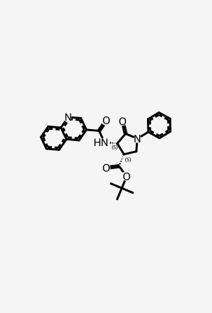 CC(C)(C)OC(=O)[C@H]1CN(c2ccccc2)C(=O)[C@H]1NC(=O)c1cnc2ccccc2c1